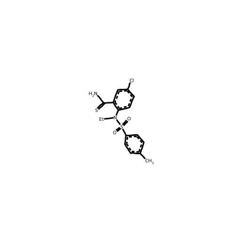 CCN(c1ccc(Cl)cc1C(N)=S)S(=O)(=O)c1ccc(C)cc1